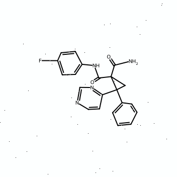 NC(=O)C1(C(=O)Nc2ccc(F)cc2)CC1(c1ccccc1)c1ccncn1